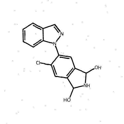 OC1NC(O)c2cc(-n3ncc4ccccc43)c(Cl)cc21